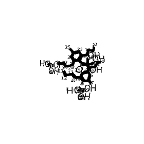 CCCCc1cc(C)cc(CCCC)c1OC(c1c(CCCC)cc(C)cc1CCCC)C(CO)(CO)CO.OP(O)O.OP(O)O